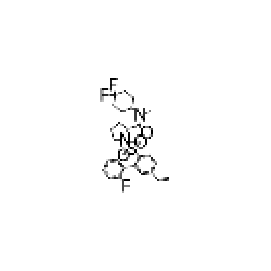 C=Cc1ccc(S(=O)(=O)N2CCC[C@H]2C(=O)N(C)C2CCC(F)(F)CC2)c(-c2ccccc2F)c1